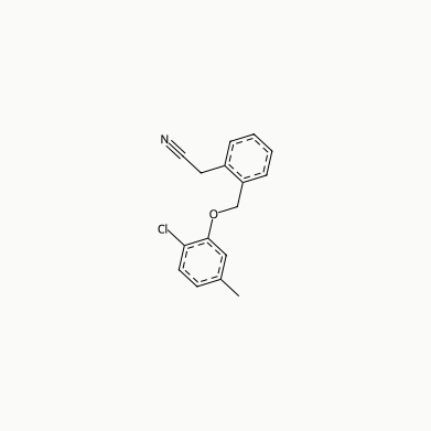 Cc1ccc(Cl)c(OCc2ccccc2CC#N)c1